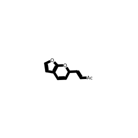 CC(=O)C=CC1C=Cc2ccoc2O1